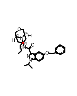 CCCCN1[C@@H]2COC[C@H]1C[C@@H](NC(=O)c1nn(C(C)C)c3ccc(OCc4ccccc4)cc13)C2